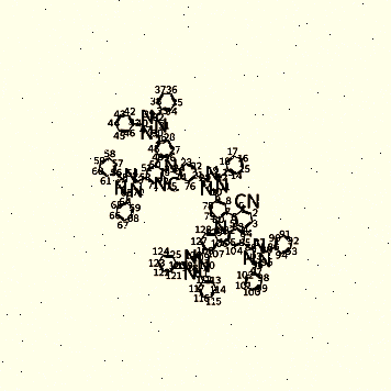 N#Cc1ccccc1-c1cc(-c2nc(-c3ccccc3)nc(-c3ccc(-n4c5ccc(-c6nc(-c7ccccc7)nc(-c7ccccc7)n6)cc5c5cc(-c6nc(-c7ccccc7)nc(-c7ccccc7)n6)ccc54)c(C#N)c3)n2)ccc1-n1c2ccc(-c3nc(-c4ccccc4)nc(-c4ccccc4)n3)cc2c2cc(-c3nc(-c4ccccc4)nc(-c4ccccc4)n3)ccc21